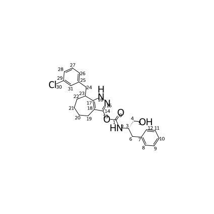 O=C(N[C@H](CO)Cc1ccccc1)Oc1n[nH]c2c1CCCCC2Cc1cccc(Cl)c1